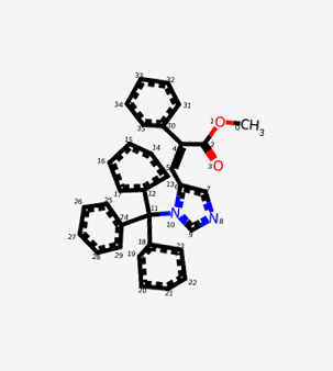 COC(=O)C(=Cc1cncn1C(c1ccccc1)(c1ccccc1)c1ccccc1)c1ccccc1